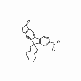 CCCCC1(CCCC)c2cc([N+](=O)[O-])ccc2-c2cc3c(cc21)CCC3=O